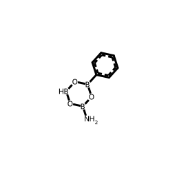 NB1OBOB(c2ccccc2)O1